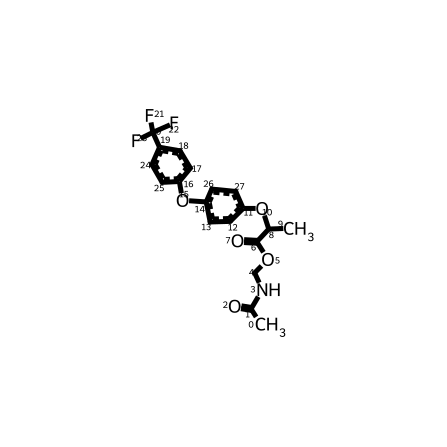 CC(=O)NCOC(=O)C(C)Oc1ccc(Oc2ccc(C(F)(F)F)cc2)cc1